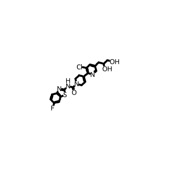 O=C(Nc1nc2ccc(F)cc2s1)N1CC=C(c2ncc(CC(O)CO)cc2Cl)CC1